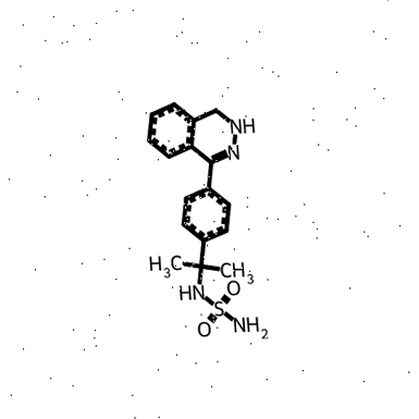 CC(C)(NS(N)(=O)=O)c1ccc(C2=NNCc3ccccc32)cc1